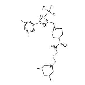 Cc1cc(C)cc(-c2nc(C(F)(F)F)c(CN3CCC(C(=O)NCCCN4C[C@H](C)C[C@H](C)C4)CC3)o2)c1